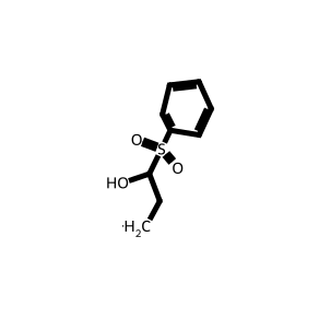 [CH2]CC(O)S(=O)(=O)c1ccccc1